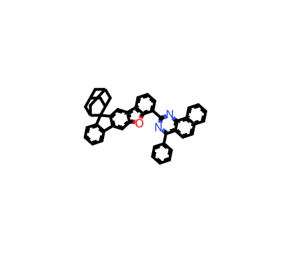 c1ccc(-c2nc(-c3cccc4c3oc3cc5c(cc34)C3(c4ccccc4-5)C4CC5CC(C4)CC3C5)nc3c2ccc2ccccc23)cc1